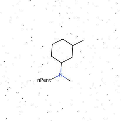 CCCCCN(C)C1CCCC(C)C1